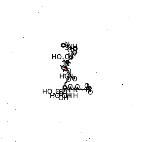 Cc1c(-c2ccc(N3CCc4cccc(C(=O)Nc5nc6ccccc6s5)c4C3)nc2C(=O)O)cnn1CC12CC3(C)CC(C)(C1)CC(OCCN(C1COC1)C(O)OC/C=C/c1ccc(O[C@@H]4O[C@H](C(=O)O)[C@@H](O)[C@H](O)[C@H]4O)c(NC(=O)CCNC(=O)CCCCCN4C(=O)C=CC4=O)c1)(C3)C2